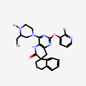 CCc1ncccc1Oc1nc2c(c(N3CCN(C(C)=O)C(CC#N)C3)n1)NC(=O)C1(CCCc3ccccc31)C2